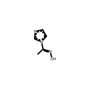 CC(=NO)n1ccnc1